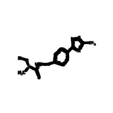 CCON(C)C(=O)NCc1ccc(-c2noc(C(F)(F)F)n2)cc1